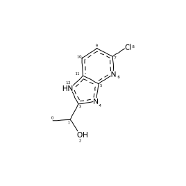 CC(O)c1nc2nc(Cl)ccc2[nH]1